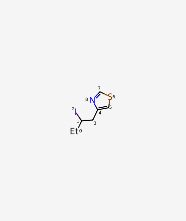 CCC(I)Cc1cscn1